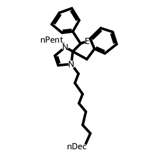 CCCCCCCCCCCCCCCCCN1C=CN(CCCCC)C1(Cc1ccccc1)C(CC)c1ccccc1